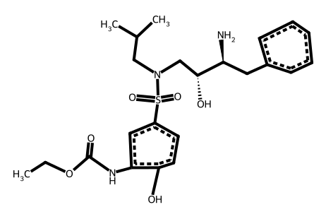 CCOC(=O)Nc1cc(S(=O)(=O)N(CC(C)C)C[C@@H](O)[C@@H](N)Cc2ccccc2)ccc1O